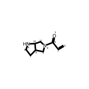 C=CC(=O)N1CC2CCNC2C1